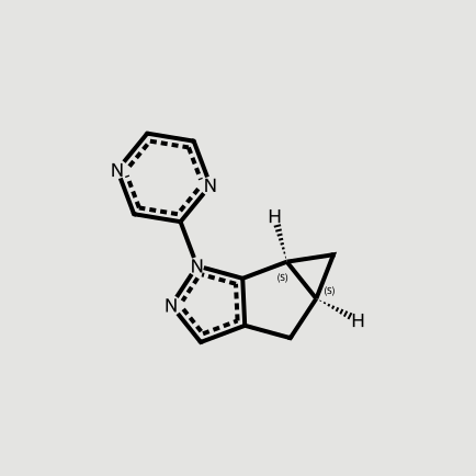 c1cnc(-n2ncc3c2[C@H]2C[C@H]2C3)cn1